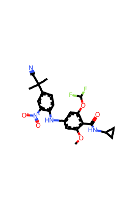 COc1cc(Nc2ccc(C(C)(C)C#N)cc2[N+](=O)[O-])cc(OC(F)F)c1C(=O)NC1CC1